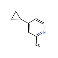 CCc1cc(C2CC2)ccn1